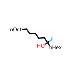 CCCCCCCCCCCCCC(O)(F)CCCCCC